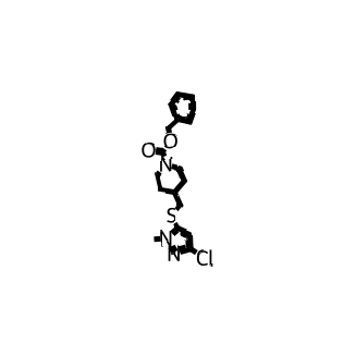 Cn1nc(Cl)cc1SCC1CCN(C(=O)OCc2ccccc2)CC1